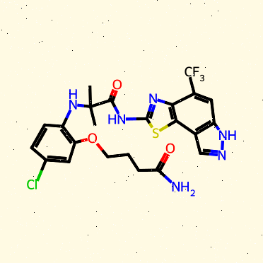 CC(C)(Nc1ccc(Cl)cc1OCCCC(N)=O)C(=O)Nc1nc2c(C(F)(F)F)cc3[nH]ncc3c2s1